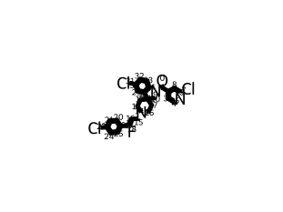 O=C(c1ccnc(Cl)c1)N1CC2(CCN(C/C=C(\F)c3ccc(Cl)cc3)CC2)c2cc(Cl)ccc21